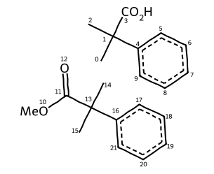 CC(C)(C(=O)O)c1ccccc1.COC(=O)C(C)(C)c1ccccc1